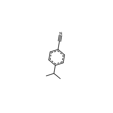 C[C](C)c1ccc(C#N)cc1